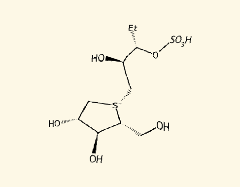 CC[C@H](OS(=O)(=O)O)[C@H](O)C[S@@+]1C[C@@H](O)[C@H](O)[C@H]1CO